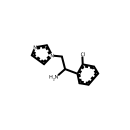 NC(Cn1ccnc1)c1ccccc1Cl